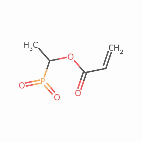 C=CC(=O)OC(C)P(=O)=O